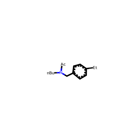 CCCCN(Cc1ccc(CC)cc1)C(C)=O